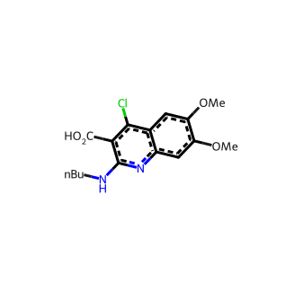 CCCCNc1nc2cc(OC)c(OC)cc2c(Cl)c1C(=O)O